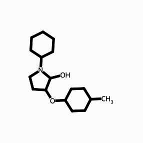 CC1CCC(OC2CCN(C3CCCCC3)C2O)CC1